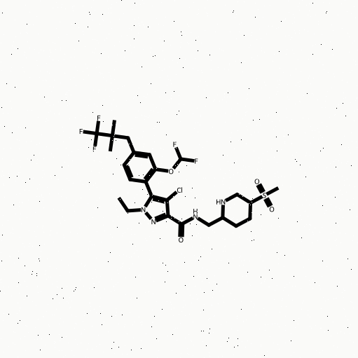 CCn1nc(C(=O)NCC2CCC(S(C)(=O)=O)CN2)c(Cl)c1-c1ccc(CC(C)(C)C(F)(F)F)cc1OC(F)F